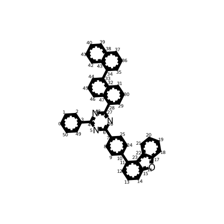 c1ccc(-c2nc(-c3ccc(-c4cccc5oc6ccccc6c45)cc3)nc(-c3cccc4c(-c5cccc6ccccc56)cccc34)n2)cc1